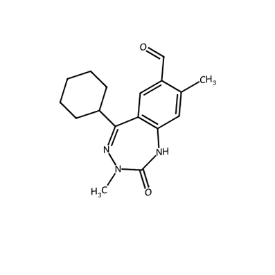 Cc1cc2c(cc1C=O)C(C1CCCCC1)=NN(C)C(=O)N2